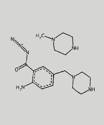 CN1CCNCC1.[N-]=[N+]=NC(=O)c1cc(CN2CCNCC2)ccc1N